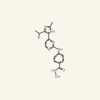 Cc1nc(C(C)C)c(-c2ccnc(Nc3ccc(C(=O)NO)cc3)n2)[nH]1